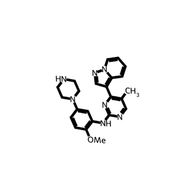 COc1ccc(N2CCNCC2)cc1Nc1ncc(C)c(-c2cnn3ccccc23)n1